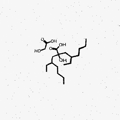 CCCCC(CC)CC(O)(CC(CC)CCCC)C(=O)O.O=C(O)CO